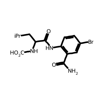 CC(C)CC(NC(=O)O)C(=O)Nc1ccc(Br)cc1C(N)=O